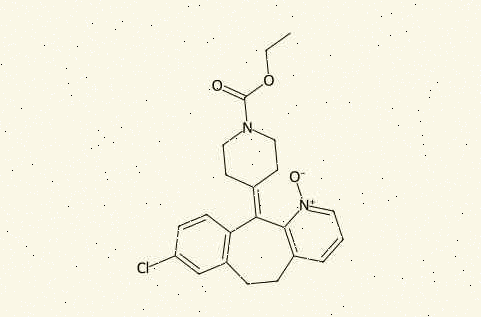 CCOC(=O)N1CCC(=C2c3ccc(Cl)cc3CCc3ccc[n+]([O-])c32)CC1